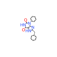 O=c1[nH]c(=O)n(-c2ccccc2)c2nc(Cc3ccccc3)[nH]c12